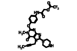 CC#CCn1c(N2CCNCC2)nc2nc(Oc3ccc(NC(=O)COC(=O)C(F)(F)F)cc3)n(C)c(=O)c21